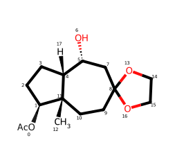 CC(=O)O[C@H]1CC[C@@H]2[C@H](O)CC3(CC[C@]12C)OCCO3